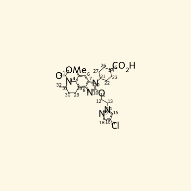 COC(=O)N1c2ccc3c(nc(OCCn4cc(Cl)cn4)n3C3CCC(C(=O)O)CC3)c2CCC1C